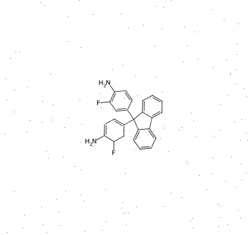 NC1=CC=C(C2(c3ccc(N)c(F)c3)c3ccccc3-c3ccccc32)CC1F